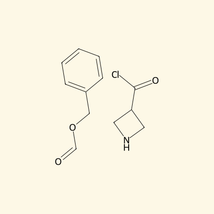 O=C(Cl)C1CNC1.O=COCc1ccccc1